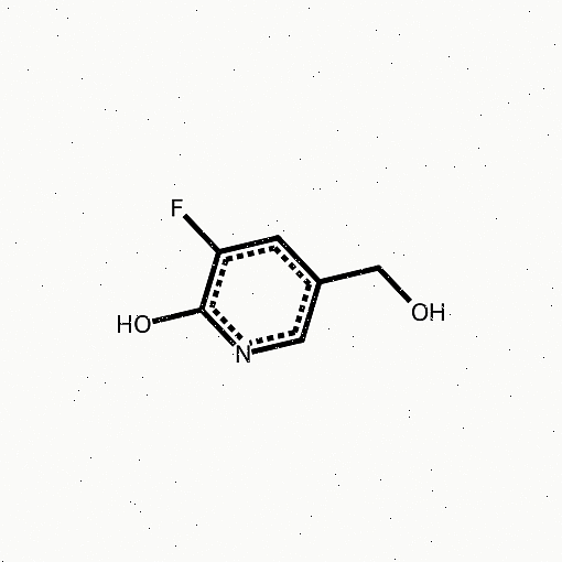 OCc1cnc(O)c(F)c1